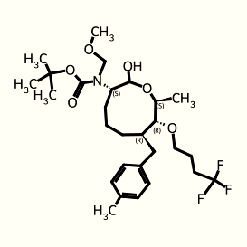 COCN(C(=O)OC(C)(C)C)[C@H]1CCC[C@H](Cc2ccc(C)cc2)[C@@H](OCCCC(F)(F)F)[C@H](C)OC1O